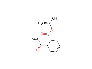 C=C(C)OC(=O)[C@@H]1CC=CC[C@@H]1C(=O)OC